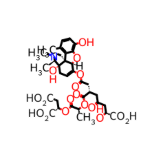 Cc1ccc(O)c2c1[C@]13CCN(C)[C@H](C)[C@]1(O)CC=C(OC(=O)C[C@H](CC(=O)C[C@H](O)C(=O)O)C(=O)O[C@@H](C)C(=O)O[C@@H](CC(=O)O)C(=O)O)[C@@H]3O2